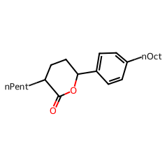 CCCCCCCCc1ccc(C2CCC(CCCCC)C(=O)O2)cc1